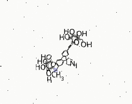 C/C(=C/c1ccc2c(c1)C1(CCN(I)CC1)c1cc(C#C[C@H]3O[C@H](CO)[C@@H](O)[C@H](O)[C@@H]3O)ccc1-2)[C@H]1O[C@H](CO)[C@@H](O)[C@H](O)[C@@H]1O